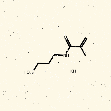 C=C(C)C(=O)NCCCS(=O)(=O)O.[KH]